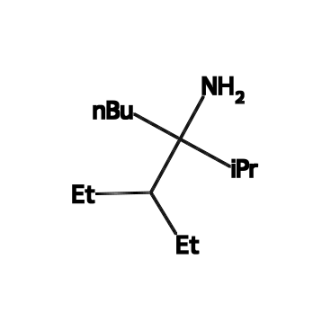 CCCCC(N)(C(C)C)C(CC)CC